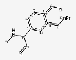 C=CC(BC)c1ccc(=C/C)/c(=C\CCC)c1